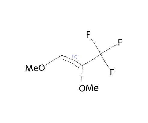 CO/C=C(\OC)C(F)(F)F